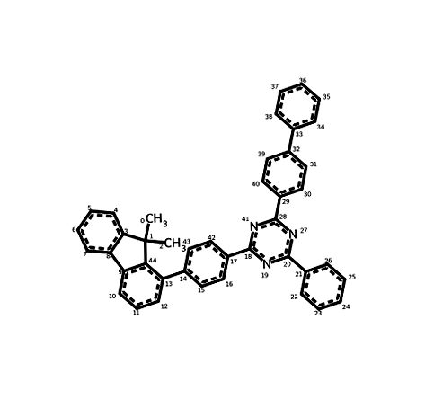 CC1(C)c2ccccc2-c2cccc(-c3ccc(-c4nc(-c5ccccc5)nc(-c5ccc(-c6ccccc6)cc5)n4)cc3)c21